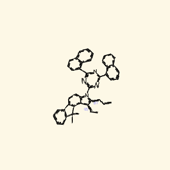 C=C/C=c1\c(=C/C)c2c3c(ccc2n1-c1nc(-c2cccc4ccccc24)nc(-c2cccc4ccccc24)n1)-c1ccccc1C3(C)C